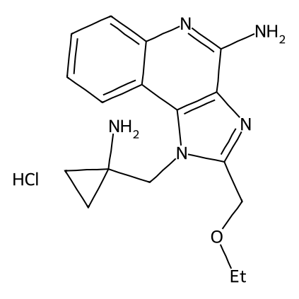 CCOCc1nc2c(N)nc3ccccc3c2n1CC1(N)CC1.Cl